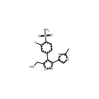 Cc1nc(-c2noc(CO)c2-c2ccc(S(N)(=O)=O)c(F)c2)cs1